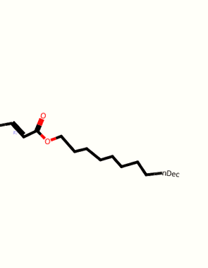 CCCCCCCCCCCCCCCCCCOC(=O)/C=C/C(C)=O